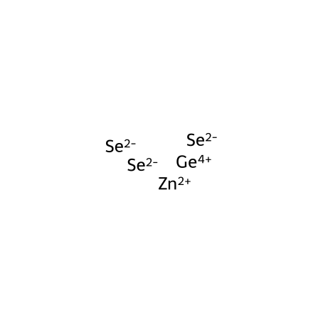 [Ge+4].[Se-2].[Se-2].[Se-2].[Zn+2]